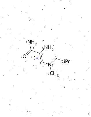 CC(C)CN(C)/C=C(\N)C(N)=O